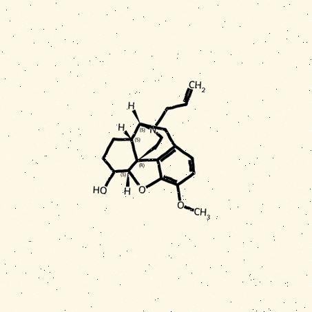 C=CCN1CC[C@@]23c4c5ccc(OC)c4O[C@@H]2C(O)CC[C@@H]3[C@@H]1C5